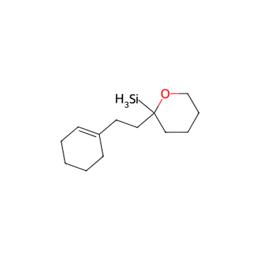 [SiH3]C1(CCC2=CCCCC2)CCCCO1